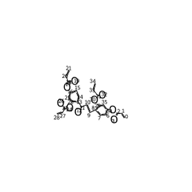 C=CC(=O)Oc1ccc(/C=C/C(=O)c2ccc(OC(=O)C=C)cc2OC(=O)C=C)c(OC(=O)C=C)c1